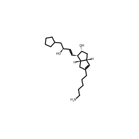 NCCCCCC1=C[C@H]2C[C@@H](O)[C@H](/C=C/[C@@H](O)CC3CCCC3)[C@H]2C1